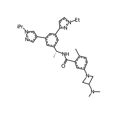 CCn1ccc(-c2cc(-c3cnn(C(C)C)c3)cc([C@@H](C)NC(=O)c3cc(N4CC(N(C)C)C4)ccc3C)c2)n1